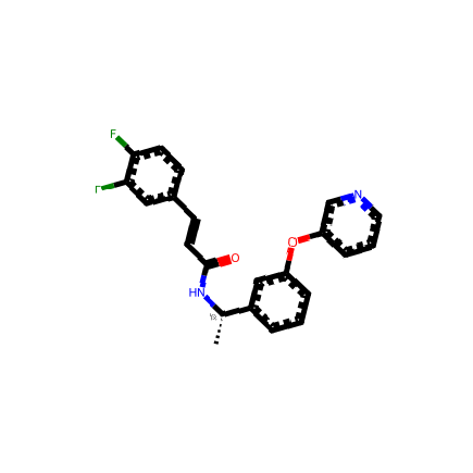 C[C@H](NC(=O)C=Cc1ccc(F)c(F)c1)c1cccc(Oc2cccnc2)c1